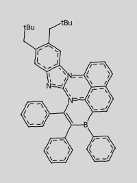 CC(C)(C)Cc1cc2nc3n4c5c(ccc6cccc(c65)n3c2cc1CC(C)(C)C)B(c1ccccc1)C(c1ccccc1)=C4c1ccccc1